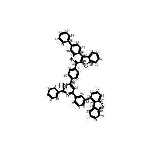 C1=CCCC(C2N=C(c3cccc(-c4cccc5sc6ccccc6c45)c3)C=C(c3ccc(-c4nc5cc(-c6ccccc6)ccc5c5c4oc4ccccc45)cc3)N2)=C1